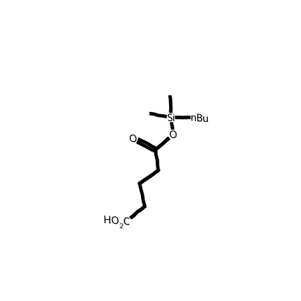 CCCC[Si](C)(C)OC(=O)CCCC(=O)O